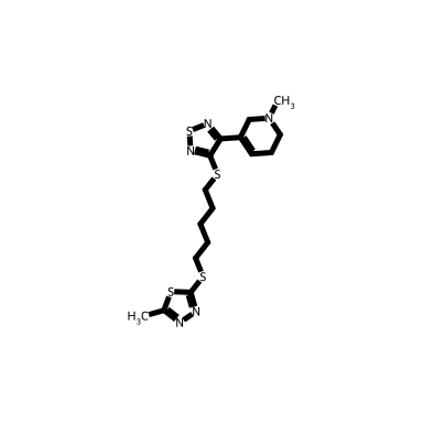 Cc1nnc(SCCCCCSc2nsnc2C2=CCCN(C)C2)s1